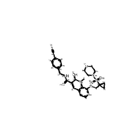 CN1c2c(ccnc2OCC2(S(=O)(=O)N3CCOCC3)CC2)C=C(C(=O)NCc2ccc(C#N)cc2)C1O